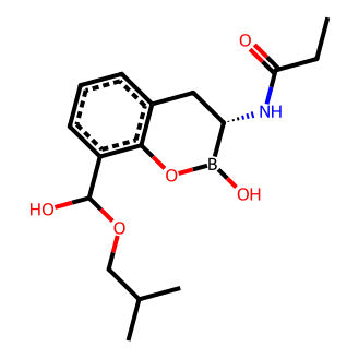 CCC(=O)N[C@H]1Cc2cccc(C(O)OCC(C)C)c2OB1O